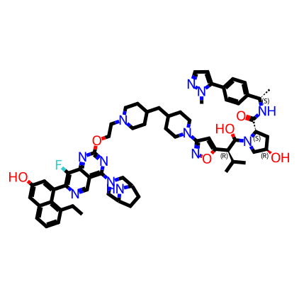 CCc1cccc2cc(O)cc(-c3ncc4c(N5CC6CCC(C5)N6)nc(OCCN5CCC(CC6CCN(c7cc([C@H](C(C)C)C(O)N8C[C@H](O)C[C@H]8C(=O)N[C@@H](C)c8ccc(-c9ccnn9C)cc8)on7)CC6)CC5)nc4c3F)c12